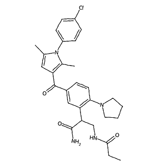 CCC(=O)NCC(C(N)=O)c1cc(C(=O)c2cc(C)n(-c3ccc(Cl)cc3)c2C)ccc1N1CCCC1